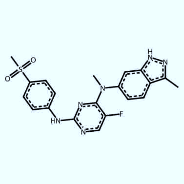 Cc1n[nH]c2cc(N(C)c3nc(Nc4ccc(S(C)(=O)=O)cc4)ncc3F)ccc12